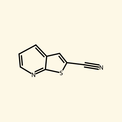 N#Cc1cc2cccnc2s1